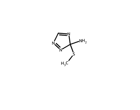 CSC1(N)N=CN=N1